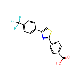 O=C(O)c1ccc(-c2nc(-c3ccc(C(F)(F)F)cc3)cs2)cc1